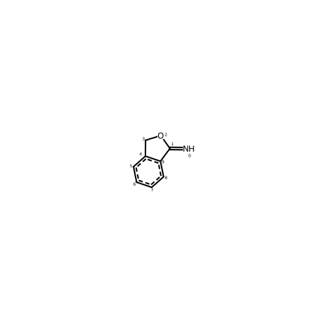 N=C1OCc2ccccc21